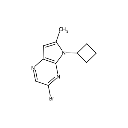 Cc1cc2ncc(Br)nc2n1C1CCC1